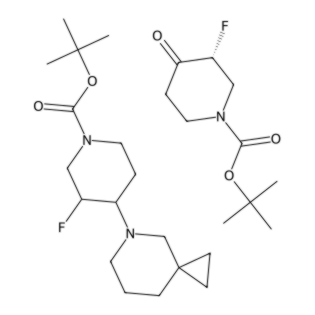 CC(C)(C)OC(=O)N1CCC(=O)[C@H](F)C1.CC(C)(C)OC(=O)N1CCC(N2CCCC3(CC3)C2)C(F)C1